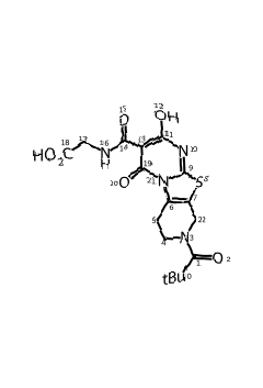 CC(C)(C)C(=O)N1CCc2c(sc3nc(O)c(C(=O)NCC(=O)O)c(=O)n23)C1